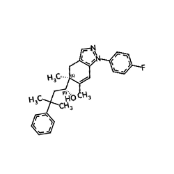 CC1=Cc2c(cnn2-c2ccc(F)cc2)C[C@]1(C)[C@H](O)CC(C)(C)c1ccccc1